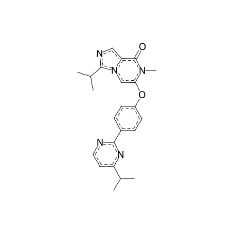 CC(C)c1ccnc(-c2ccc(Oc3cn4c(C(C)C)ncc4c(=O)n3C)cc2)n1